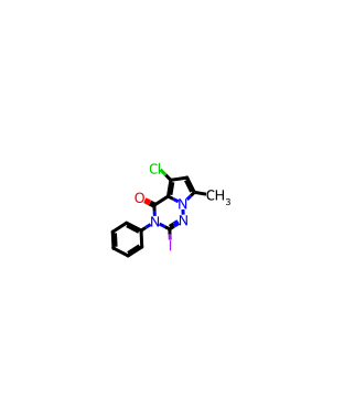 Cc1cc(Cl)c2c(=O)n(-c3ccccc3)c(I)nn12